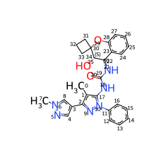 Cc1c(-c2cnn(C)c2)nn(-c2ccccc2)c1NC(=O)N[C@@H]1c2ccccc2OC2(CCC2)[C@H]1O